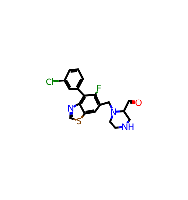 O=CC1CNCCN1Cc1cc2scnc2c(-c2cccc(Cl)c2)c1F